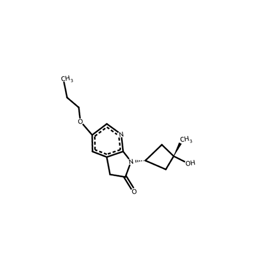 CCCOc1cnc2c(c1)CC(=O)N2[C@H]1C[C@@](C)(O)C1